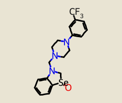 O=[Se]1CN(CN2CCN(c3cccc(C(F)(F)F)c3)CC2)c2ccccc21